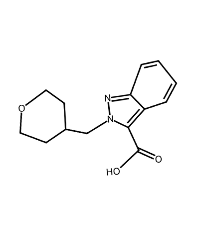 O=C(O)c1c2ccccc2nn1CC1CCOCC1